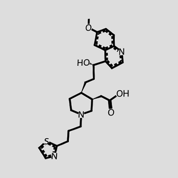 COc1ccc2nccc([C@@H](O)CC[C@@H]3CCN(CCCc4nccs4)C[C@@H]3CC(=O)O)c2c1